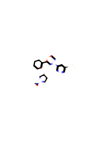 CCC(=O)N1CC[C@H](OC2=C(C3=CN(c4cncc(C#N)c4)C=CO3)CCC=C2)C1